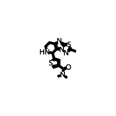 Cc1nn2c3c(nc2s1)CCNC3c1cc(C(=O)N(C)C)cs1